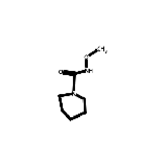 CONC(=O)N1CCCCC1